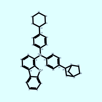 c1ccc2c(c1)oc1c(N(c3ccc(C4CCCCC4)cc3)c3ccc(C4CC5CCC4C5)cc3)cccc12